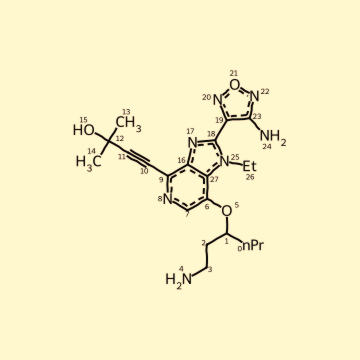 CCCC(CCN)Oc1cnc(C#CC(C)(C)O)c2nc(-c3nonc3N)n(CC)c12